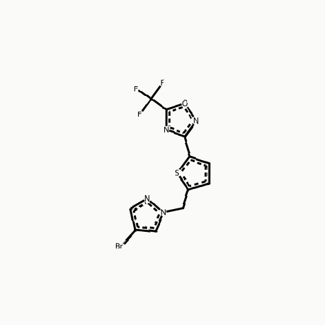 FC(F)(F)c1nc(-c2ccc(Cn3cc(Br)cn3)s2)no1